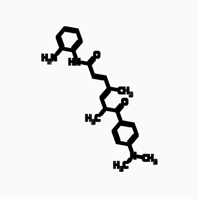 CC(C=CC(=O)Nc1ccccc1N)=CC(C)C(=O)c1ccc(N(C)C)cc1